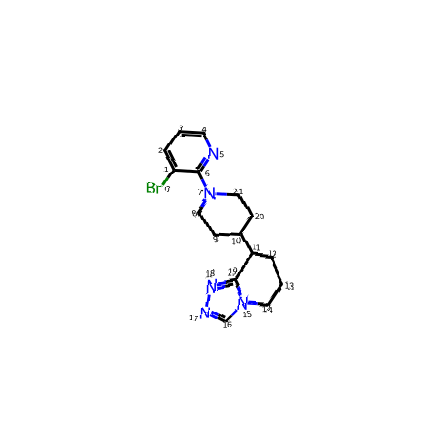 Brc1cccnc1N1CCC(C2CCCn3cnnc32)CC1